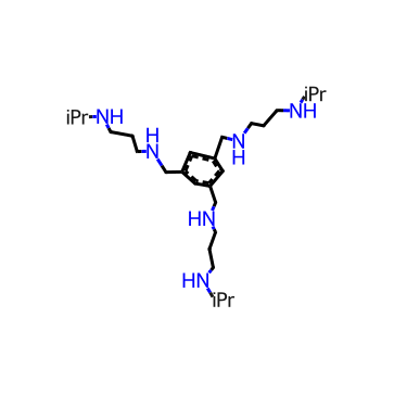 CC(C)NCCCNCc1cc(CNCCCNC(C)C)cc(CNCCCNC(C)C)c1